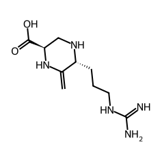 C=C1N[C@@H](C(=O)O)CN[C@@H]1CCCNC(=N)N